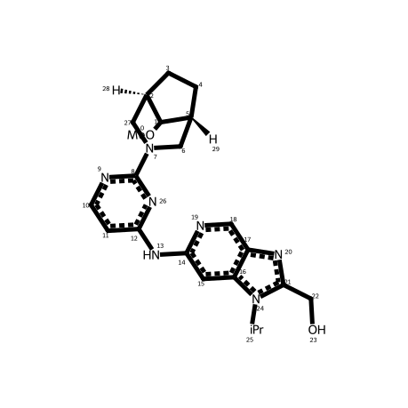 COC1[C@@H]2CC[C@@H]1CN(c1nccc(Nc3cc4c(cn3)nc(CO)n4C(C)C)n1)C2